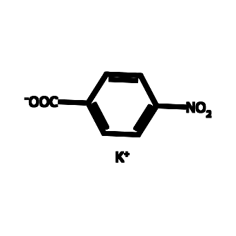 O=C([O-])c1ccc([N+](=O)[O-])cc1.[K+]